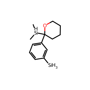 C[SiH](C)C1(c2cccc([SiH3])c2)CCCCO1